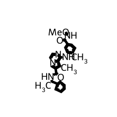 CONC(=O)c1ccc(C)c(Nc2nccn3cc(C(=O)NC(C)c4ccccc4)c(C)c23)c1